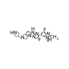 Cc1nc2c(F)cc(-c3nc(Nc4ccc5c(n4)CCN(CC4CCNCC4)C5)ncc3F)cc2n1C(C)C